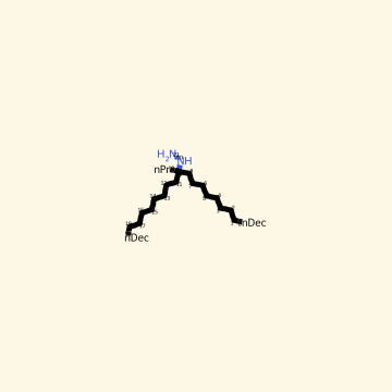 CCCCCCCCCCCCCCCCCCC(CCC)(CCCCCCCCCCCCCCCCCC)NN